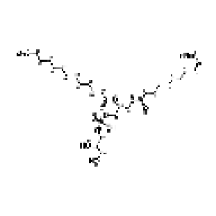 CCCCCCCCC/C=C\CCCCCCCC(=O)OC[C@H](COP(=O)(O)OC[C@@H](O)CO)OC(=O)CCCCCCCCCCCCCCCCCCCCC